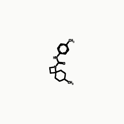 Cc1ccc(NC(=O)N2CCC23CCC(C)CC3)cc1